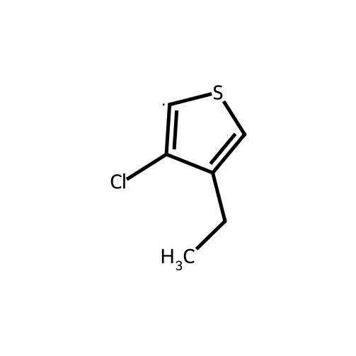 CCc1cs[c]c1Cl